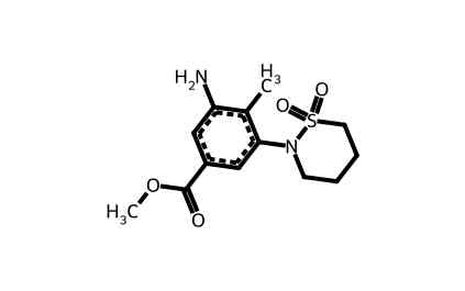 COC(=O)c1cc(N)c(C)c(N2CCCCS2(=O)=O)c1